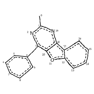 Cc1nc(-c2ccccc2)c2oc3ccccc3c2n1